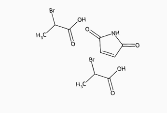 CC(Br)C(=O)O.CC(Br)C(=O)O.O=C1C=CC(=O)N1